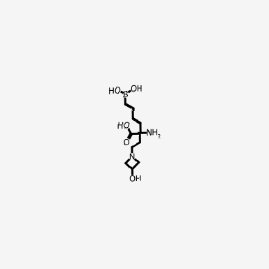 NC(CCCCB(O)O)(CCN1CC(O)C1)C(=O)O